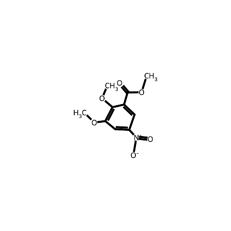 COC(=O)c1cc([N+](=O)[O-])cc(OC)c1OC